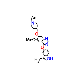 COc1cc2c(Oc3ccc4[nH]cc(C)c4c3)ncnc2cc1OCC1CCN(CC(C)=O)CC1